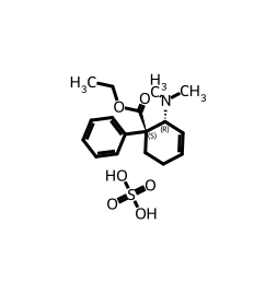 CCOC(=O)[C@]1(c2ccccc2)CCC=C[C@H]1N(C)C.O=S(=O)(O)O